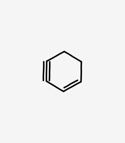 C1#CCCC=C1